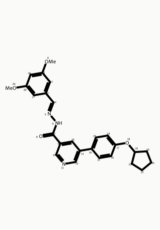 COc1cc(C=NNC(=O)c2cncc(-c3ccc(OC4CCCC4)cc3)c2)cc(OC)c1